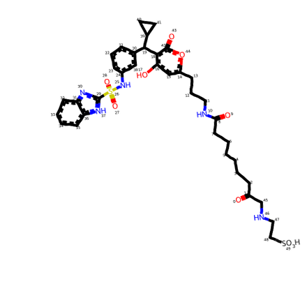 O=C(CCCCCCC(=O)NCCCc1cc(O)c(C(c2cccc(NS(=O)(=O)c3nc4ccccc4[nH]3)c2)C2CC2)c(=O)o1)CNCCS(=O)(=O)O